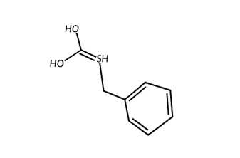 OC(O)=[SH]Cc1ccccc1